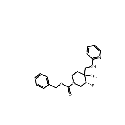 CC1(CNc2ncccn2)CCN(C(=O)OCc2ccccc2)C[C@H]1F